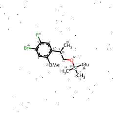 COc1cc(Br)c(F)cc1[C@@H](C)CO[Si](C)(C)C(C)(C)C